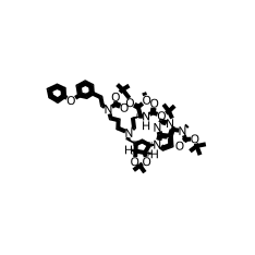 COC(=O)[C@H](CCN(CCCN(CCc1cccc(Oc2ccccc2)c1)C(=O)OC(C)(C)C)C[C@H]1C[C@@H](n2ccc3c(N(C)C(=O)OC(C)(C)C)ncnc32)[C@@H]2OC(C)(C)O[C@H]12)NC(=O)OC(C)(C)C